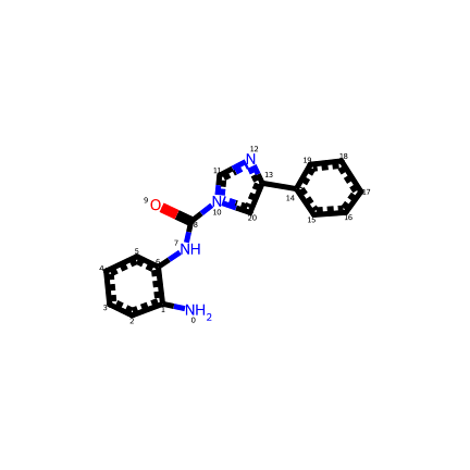 Nc1ccccc1NC(=O)n1cnc(-c2ccccc2)c1